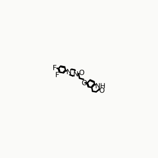 O=C1CCc2cc(OCCC(=O)N3CCN(c4ccc(F)c(F)c4)CC3)ccc2N1